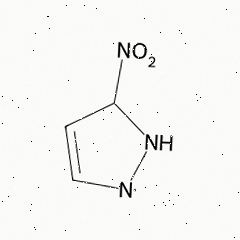 O=[N+]([O-])C1C=C[N]N1